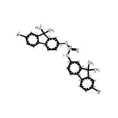 CC1(C)c2cc(Br)ccc2-c2ccc(O[PH](=O)Oc3ccc4c(c3)C(C)(C)c3cc(Br)ccc3-4)cc21